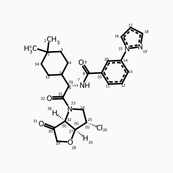 CC1(C)CCC([C@H](NC(=O)c2cccc(-n3cccn3)c2)C(=O)N2C[C@H](Cl)[C@H]3OCC(=O)[C@H]32)CC1